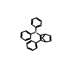 C1=CC2CC1C(c1ccccc1)=C2P(c1ccccc1)c1ccccc1